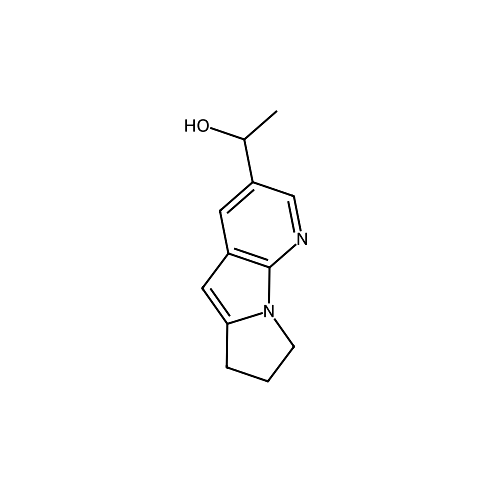 CC(O)c1cnc2c(c1)cc1n2CCC1